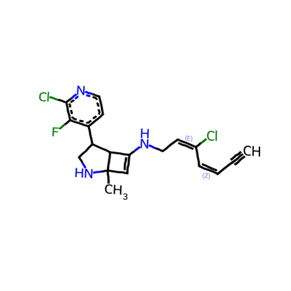 C#C/C=C\C(Cl)=C/CNC1=CC2(C)NCC(c3ccnc(Cl)c3F)C12